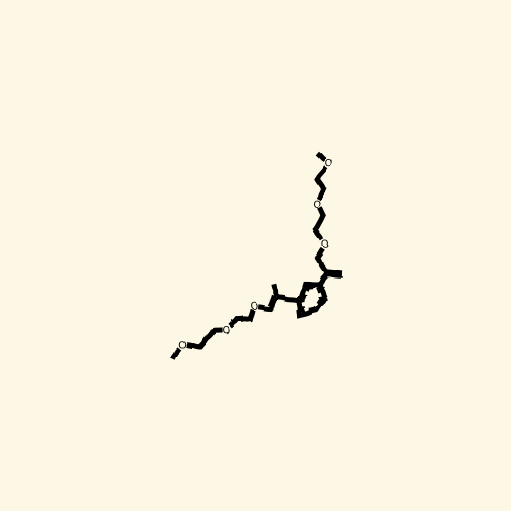 C=C(COCCOCCOC)c1cccc(C(C)=COCCOCCOC)c1